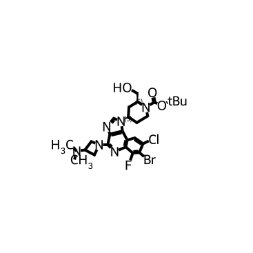 CN(C)C1CN(c2nc3c(F)c(Br)c(Cl)cc3c3c2ncn3[C@H]2CCN(C(=O)OC(C)(C)C)[C@H](CO)C2)C1